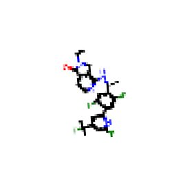 CCN1Cc2c(ccnc2N[C@@H](C)c2cc(F)c(-c3cc(C(C)(C)F)cc(F)n3)cc2F)C1=O